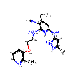 [C-]#[N+]c1c(CC)cc(Nc2cc(C)n[nH]2)nc1NCCOc1cccnc1C